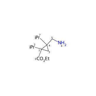 CCOC(=O)C1(C(C)C)CC1(CN)C(C)C